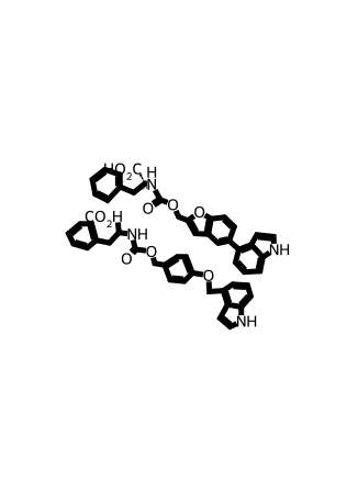 O=C(NC(Cc1ccccc1)C(=O)O)OCc1ccc(OCc2cccc3[nH]ccc23)cc1.O=C(N[C@H](Cc1ccccc1)C(=O)O)OCc1cc2cc(-c3cccc4[nH]ccc34)ccc2o1